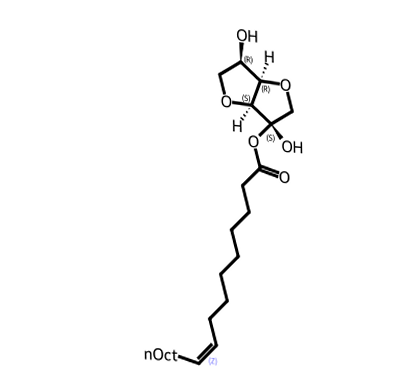 CCCCCCCC/C=C\CCCCCCCC(=O)O[C@@]1(O)CO[C@@H]2[C@H](O)CO[C@@H]21